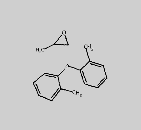 CC1CO1.Cc1ccccc1Oc1ccccc1C